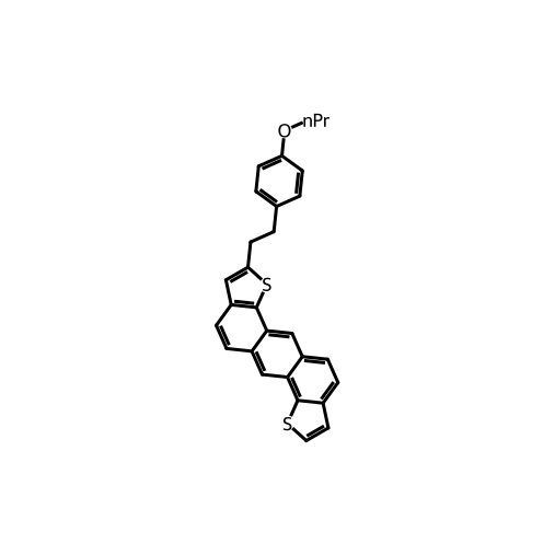 CCCOc1ccc(CCc2cc3ccc4cc5c(ccc6ccsc65)cc4c3s2)cc1